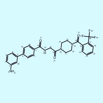 Nc1cccc(-c2ccc(C(=O)NCC(=O)N3CCN(C(=O)c4ccccc4C(F)(F)F)CC3)cc2)c1